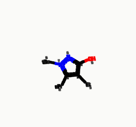 CCCc1c(CC)c(O)nn1C(C)(C)C